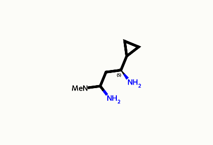 CNC(N)C[C@H](N)C1CC1